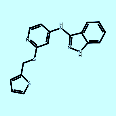 c1csc(CSc2cc(Nc3n[nH]c4ccccc34)ccn2)c1